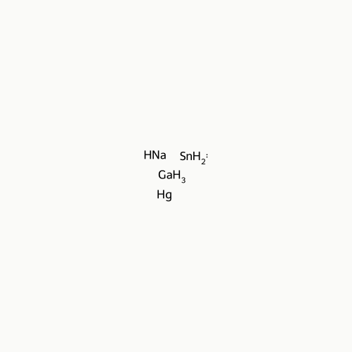 [GaH3].[Hg].[NaH].[SnH2]